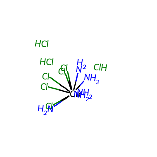 Cl.Cl.Cl.[NH2][Co]([NH2])([NH2])([NH2])([NH2])([Cl])([Cl])([Cl])([Cl])[Cl]